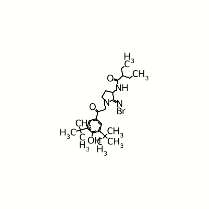 CCC(CC)C(=O)NC1CCN(CC(=O)c2cc(C(C)(C)C)c(O)c(C(C)(C)C)c2)/C1=N\Br